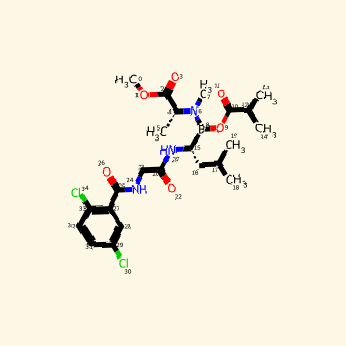 COC(=O)[C@@H](C)N(C)B(OC(=O)C(C)C)[C@H](CC(C)C)NC(=O)CNC(=O)c1cc(Cl)ccc1Cl